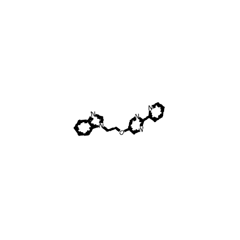 c1ccc(-c2ncc(OCCn3cnc4ccccc43)cn2)nc1